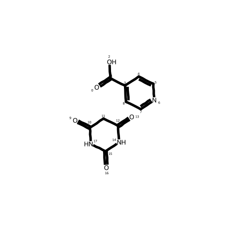 O=C(O)c1ccncc1.O=C1CC(=O)NC(=O)N1